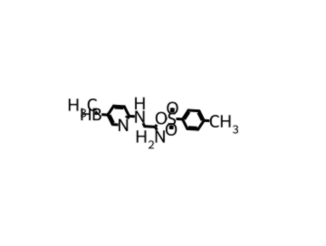 CBc1ccc(NCC(N)OS(=O)(=O)c2ccc(C)cc2)nc1